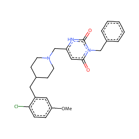 COc1ccc(Cl)c(CC2CCN(Cc3cc(=O)n(Cc4ccccc4)c(=O)[nH]3)CC2)c1